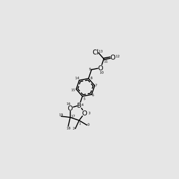 CC1(C)OB(c2ccc(COC(=O)Cl)cc2)OC1(C)C